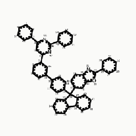 c1ccc(-c2cc(-c3cccc(-c4ccc(C5(c6ccc7nc(-c8ccccc8)oc7c6)c6ccccc6-c6ccccc65)cc4)c3)nc(-c3ccccc3)n2)cc1